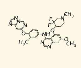 COc1cc(O[C@@H]2CCN(C)CC2(F)F)c2c(Nc3ccc(Oc4cc5ncnn5cn4)c(C)c3)ncnc2c1